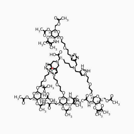 CC(=O)N[C@H]1[C@H](OCCOCCN2C=C(CN(CCCC[C@@H](C(=O)O)N(Cc3cn(CCOCCO[C@@H]4O[C@H](COC(C)=O)[C@H](OC(C)=O)[C@H](OC(C)=O)[C@H]4NC(C)=O)nn3)Cc3cn(CCOCCO[C@@H]4O[C@H](COC(C)=O)[C@H](OC(C)=O)[C@H](OC(C)=O)[C@H]4NC(C)=O)nn3)Cc3cn(CCOCCO[C@@H]4O[C@H](COC(C)=O)[C@H](OC(C)=O)[C@H](OC(C)=O)[C@H]4NC(C)=O)nn3)NN2)O[C@H](COC(C)=O)[C@H](OC(C)=O)[C@@H]1OC(C)=O